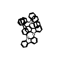 c1ccc(-c2ccc(-n3c4ccccc4c4cccc(-n5c6cccc(-c7ccccc7)c6c6c([Si](c7ccccc7)(c7ccccc7)c7ccccc7)c(-c7ccccc7)ccc65)c43)cc2)cc1